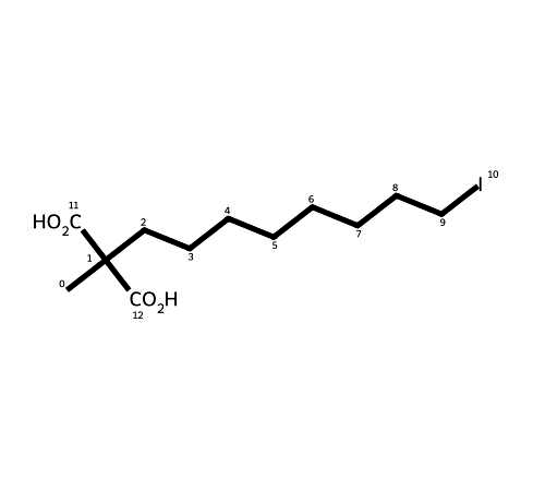 CC(CCCCCCCCI)(C(=O)O)C(=O)O